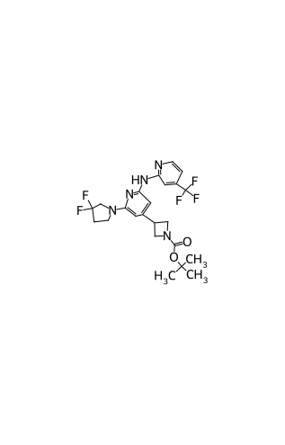 CC(C)(C)OC(=O)N1CC(c2cc(Nc3cc(C(F)(F)F)ccn3)nc(N3CCC(F)(F)C3)c2)C1